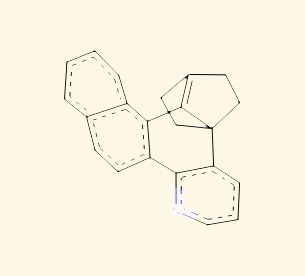 c1cnc2c(c1)C13CCC(=C1c1c-2ccc2ccccc12)CC3